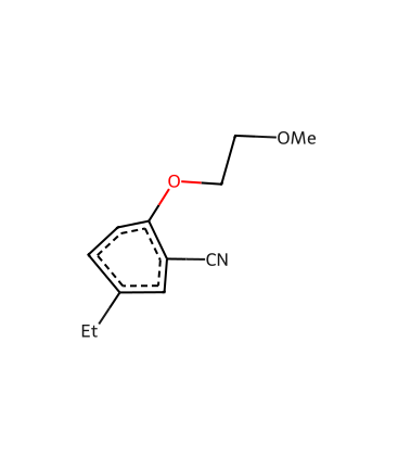 CCc1ccc(OCCOC)c(C#N)c1